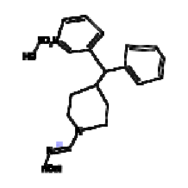 CCCCCCCC/N=C/N1CCC(C(c2ccccc2)c2ccccc2)CC1.O=S(=O)(O)O